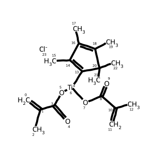 C=C(C)C(=O)[O][Ti+]([O]C(=O)C(=C)C)[C]1=C(C)C(C)=C(C)C1(C)C.[Cl-]